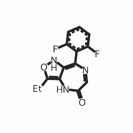 CCC1=C2NC(=O)C=NC(c3c(F)cccc3F)=C2NO1